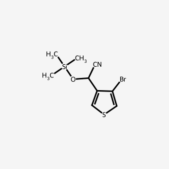 C[Si](C)(C)OC(C#N)c1cscc1Br